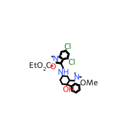 CCOC(=O)Oc1c(CNC2CCC(O)(c3cccc(OC)c3)C(CN(C)C)C2)c2c(Cl)cc(Cl)cc2n1C